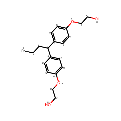 CC(C)CCC(c1ccc(OCCO)cc1)c1ccc(OCCO)cc1